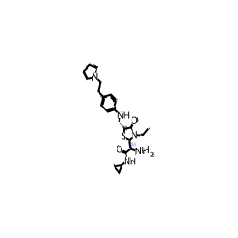 CCN1C(=O)[C@@H](CNc2ccc(CCN3CCCC3)cc2)S/C1=C(/N)C(=O)NC1CC1